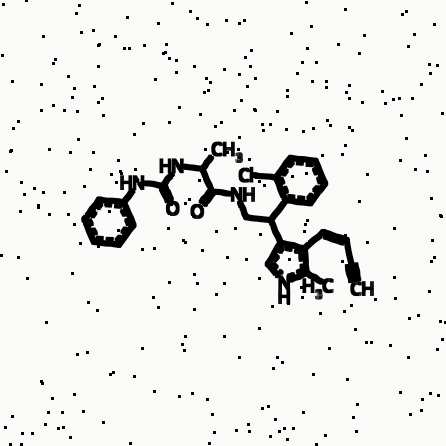 C#C/C=C\c1c(C(CNC(=O)C(C)NC(=O)Nc2ccccc2)c2ccccc2Cl)c[nH]c1C